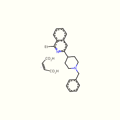 CCc1nc(C2CCN(Cc3ccccc3)CC2)cc2ccccc12.O=C(O)/C=C\C(=O)O